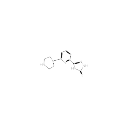 S=c1[nH]nc(-c2cccc(N3CCNCC3)n2)[nH]1